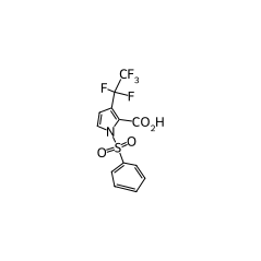 O=C(O)c1c(C(F)(F)C(F)(F)F)ccn1S(=O)(=O)c1ccccc1